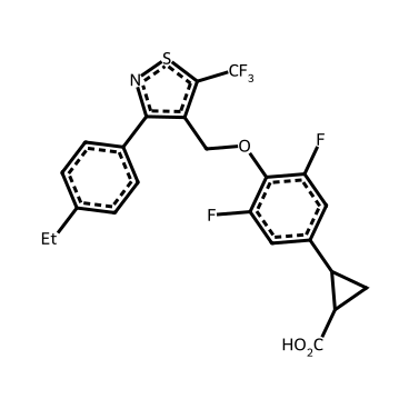 CCc1ccc(-c2nsc(C(F)(F)F)c2COc2c(F)cc(C3CC3C(=O)O)cc2F)cc1